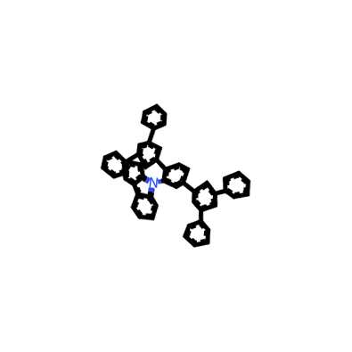 c1ccc(-c2cc(-c3ccccc3)cc(-c3ccc(-c4cc(-c5ccccc5)cc(-c5ccccc5)c4)c(-n4c5ccccc5c5ccccc54)c3)c2)cc1